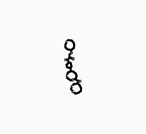 O=C(COC1CCCCCCCCC1)NC1CCC(C2CCCCCC(BC3CCCCCCCCC3)CCC2)CC1